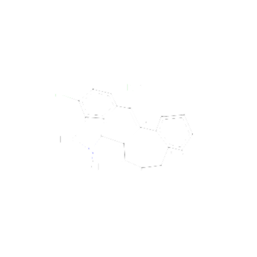 CN(C)CC1CCCc2ccccc2/C1=C/c1ccc(Cl)cc1.Cl